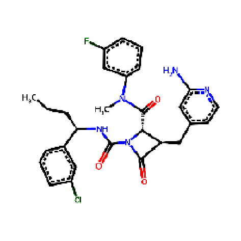 CCC[C@@H](NC(=O)N1C(=O)[C@H](Cc2ccnc(N)c2)[C@H]1C(=O)N(C)c1cccc(F)c1)c1cccc(Cl)c1